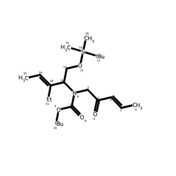 C/C=C/C(=O)CN(C(=O)OC(C)(C)C)C(CO[Si](C)(C)C(C)(C)C)/C(=C/C)CC